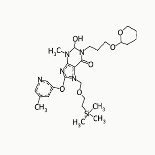 Cc1cncc(Oc2nc3c(n2COCC[Si](C)(C)C)C(=O)N(CCCOC2CCCCO2)C(O)N3C)c1